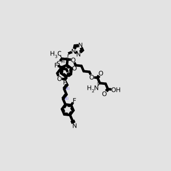 C[C@@H](S[C@H]1CO[C@H](/C=C/C=C/c2ccc(C#N)cc2F)OC1)[C@@](Cn1cncn1)(OC(=O)CCCOC(=O)[C@@H](N)CC(=O)O)c1ccc(F)cc1F